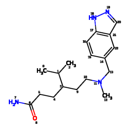 CC(C)C(CCC(N)=O)CCN(C)Cc1ccc2[nH]ncc2c1